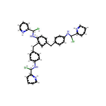 BrC(Nc1ccc(Cc2ccc(NC(Br)c3ccccn3)c(Cc3ccc(NC(Br)c4ccccn4)cc3)c2)cc1)c1ccccn1